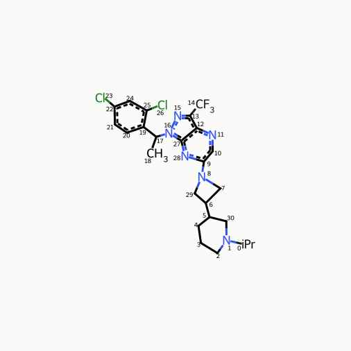 CC(C)N1CCCC(C2CN(c3cnc4c(C(F)(F)F)nn(C(C)c5ccc(Cl)cc5Cl)c4n3)C2)C1